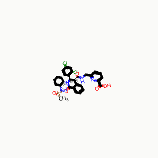 C[S+]([O-])N[C@H]1CCCC[C@@H]1N1C(=O)c2ccccc2[C@@H](C(=O)NCc2cccc(C(=O)O)n2)[C@@H]1c1ccc(Cl)cc1Cl